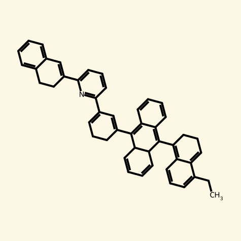 CCc1cccc2c1=CCCC=2C1=c2ccccc2=C(C2=CC(c3cccc(C4=Cc5ccccc5CC4)n3)=CCC2)C2C=CC=CC12